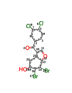 O=C(c1ccc(Cl)c(Cl)c1)c1coc2c(Br)c(Br)c(O)cc12